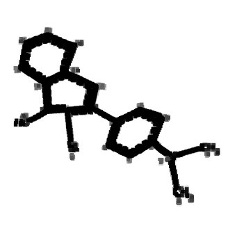 CCc1c(-c2ccc(N(C)C)cc2)cc2ccccc2c1O